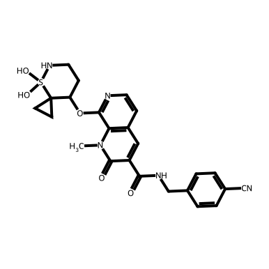 Cn1c(=O)c(C(=O)NCc2ccc(C#N)cc2)cc2ccnc(OC3CCNS(O)(O)C34CC4)c21